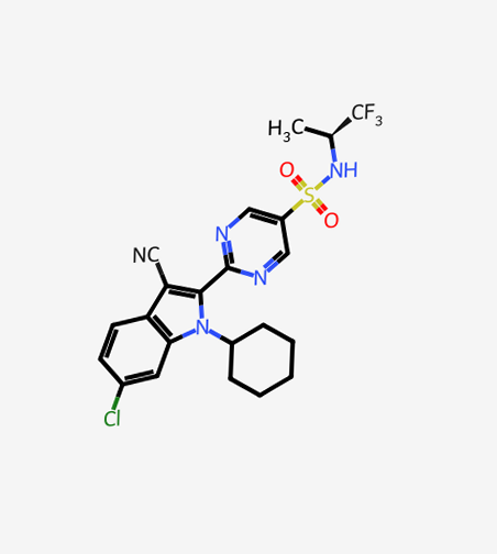 C[C@H](NS(=O)(=O)c1cnc(-c2c(C#N)c3ccc(Cl)cc3n2C2CCCCC2)nc1)C(F)(F)F